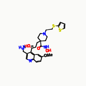 COc1ccc2ncc(CN)c([C@H](O)CCC3(C(=O)NO)CCN(CCSc4cccs4)CC3)c2c1